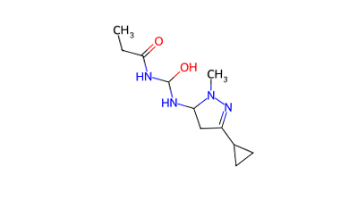 CCC(=O)NC(O)NC1CC(C2CC2)=NN1C